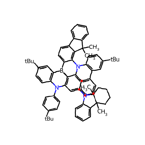 CC(C)(C)c1ccc(N2c3ccc(C(C)(C)C)cc3B3c4ccc5c(c4N(c4ccc(C(C)(C)C)cc4-c4ccccc4)c4cc(N6c7ccccc7C7(C)CCCCC67C)cc2c43)C(C)(C)c2ccccc2-5)cc1